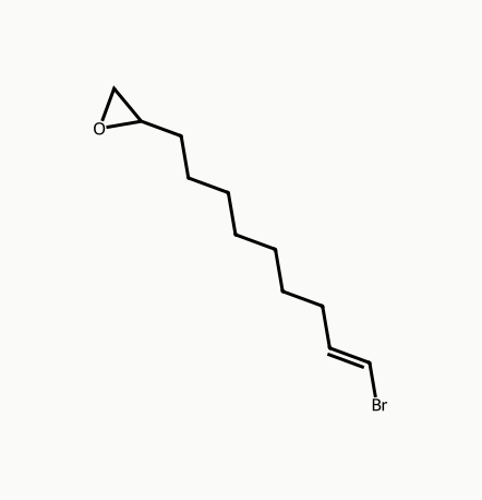 Br/C=C/CCCCCCCC1CO1